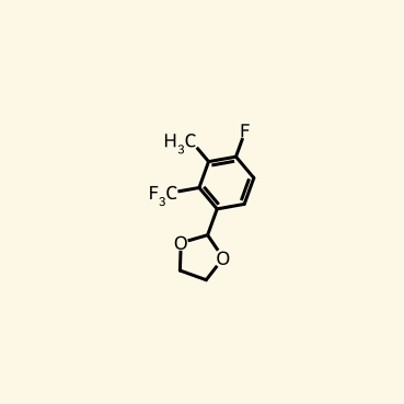 Cc1c(F)ccc(C2OCCO2)c1C(F)(F)F